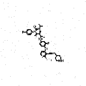 CC(C)n1cc(C(=O)Nc2ccc(Oc3ccnc(N)c3C#CCC3CCNCC3)c(F)c2)c(=O)n(-c2ccc(F)cc2)c1=O